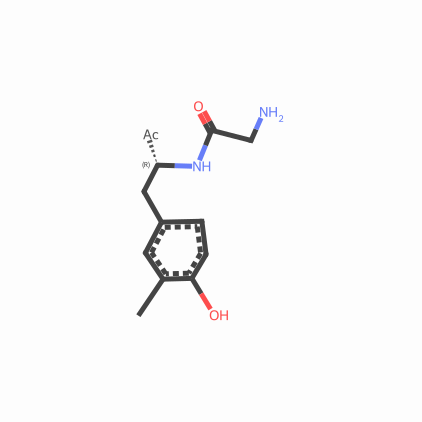 CC(=O)[C@@H](Cc1ccc(O)c(C)c1)NC(=O)CN